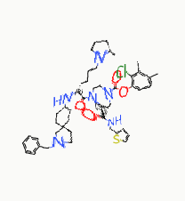 Cc1ccc(OC(=O)N2CCN(C(=O)[C@@H](CCCCN3CCCC3C)NC3CCC4(CC3)CCN(Cc3ccccc3)C4)[C@H](C(=O)NCc3cccs3)C2)c(Cl)c1C